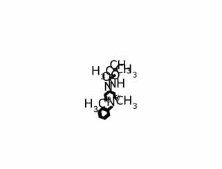 C[C@H]1CC(=NNC(=O)OC(C)(C)C)C[C@H](C)N1Cc1ccccc1